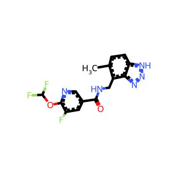 Cc1ccc2[nH]nnc2c1CNC(=O)c1cnc(OC(F)F)c(F)c1